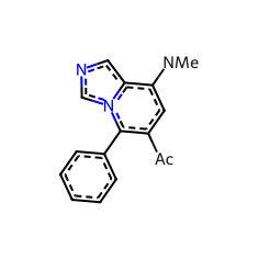 CNc1cc(C(C)=O)c(-c2ccccc2)n2cncc12